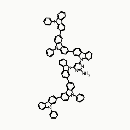 Nc1nc(-n2c3ccccc3c3ccc(-c4ccc5c(c4)c4cc(-c6ccc7c8ccccc8n(-c8ccccc8)c7c6)ccc4n5-c4ccccc4)cc32)cc(-n2c3ccccc3c3ccc(-c4ccc5c(c4)c4cc(-c6ccc7c8ccccc8n(-c8ccccc8)c7c6)ccc4n5-c4ccccc4)cc32)n1